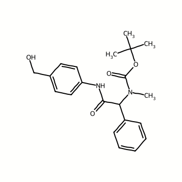 CN(C(=O)OC(C)(C)C)C(C(=O)Nc1ccc(CO)cc1)c1ccccc1